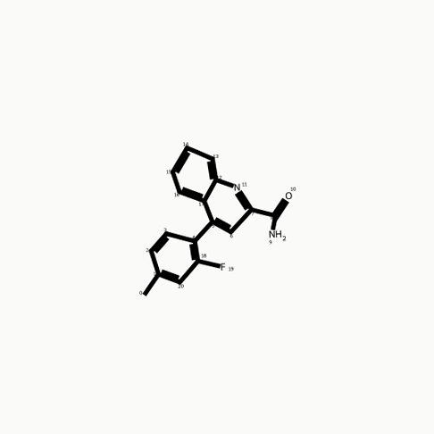 Cc1ccc(-c2cc(C(N)=O)nc3ccccc23)c(F)c1